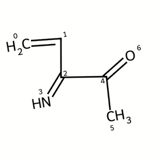 C=CC(=N)C(C)=O